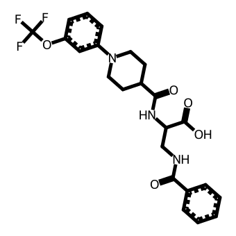 O=C(NCC(NC(=O)C1CCN(c2cccc(OC(F)(F)F)c2)CC1)C(=O)O)c1ccccc1